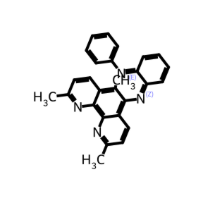 Cc1ccc2c(C)c(/N=C3/C=CC=C/C3=N\c3ccccc3)c3ccc(C)nc3c2n1